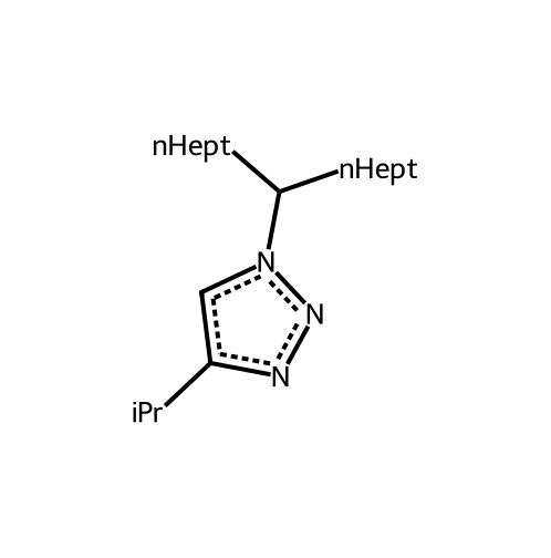 CCCCCCCC(CCCCCCC)n1cc(C(C)C)nn1